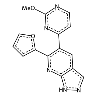 COc1nccc(-c2cc3cn[nH]c3nc2-c2ccco2)n1